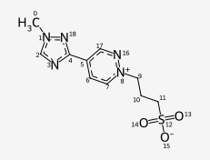 Cn1cnc(-c2cc[n+](CCCS(=O)(=O)[O-])nc2)n1